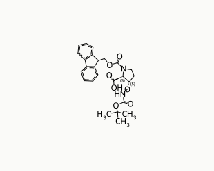 CC(C)(C)OC(=O)NO[C@H]1CCN(C(=O)OCC2c3ccccc3-c3ccccc32)[C@@H]1C(=O)O